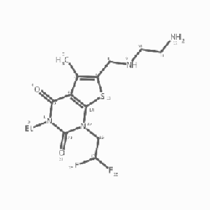 CCn1c(=O)c2c(C)c(CNCCN)sc2n(CC(F)F)c1=O